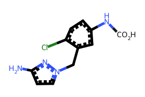 Nc1ccn(Cc2cc(NC(=O)O)ccc2Cl)n1